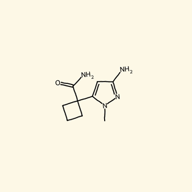 Cn1nc(N)cc1C1(C(N)=O)CCC1